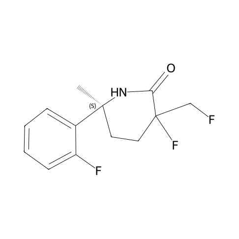 C[C@@]1(c2ccccc2F)CCC(F)(CF)C(=O)N1